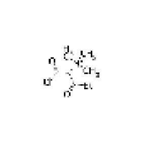 CCC(=O)C(C(=O)Cl)[N+](C)(C)C